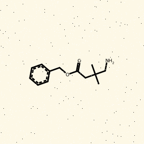 CC(C)(CN)CC(=O)OCc1ccccc1